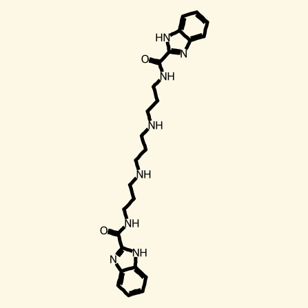 O=C(NCCCNCCCNCCCNC(=O)c1nc2ccccc2[nH]1)c1nc2ccccc2[nH]1